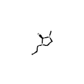 CCCN1CCN(I)C1=O